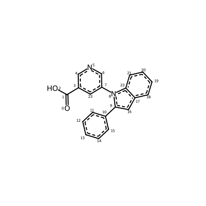 O=C(O)c1cncc(-n2c(-c3ccccc3)cc3ccccc32)c1